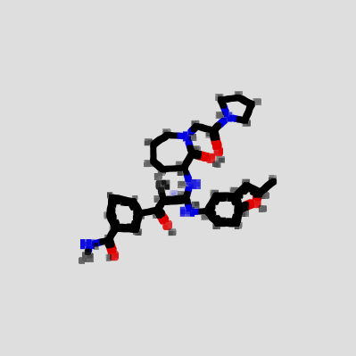 CCNC(=O)c1cccc(C(=O)/C(C#N)=C(\Nc2ccc3oc(C)cc3c2)N[C@H]2CCCCN(CC(=O)N3CCCC3)C2=O)c1